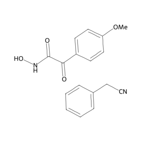 COc1ccc(C(=O)C(=O)NO)cc1.N#CCc1ccccc1